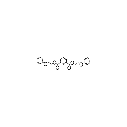 O=C(OCCOc1ccccc1)c1cccc(C(=O)OCCOc2ccccc2)c1